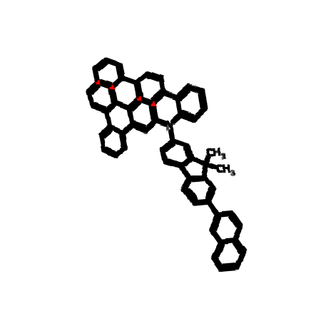 CC1(C)c2cc(-c3ccc4ccccc4c3)ccc2-c2ccc(N(c3ccc4c5ccccc5c5ccccc5c4c3)c3ccccc3-c3ccc(-c4ccccc4)cc3)cc21